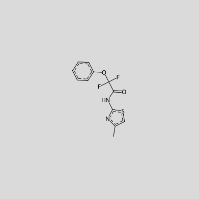 Cc1csc(NC(=O)C(F)(F)Oc2ccccc2)n1